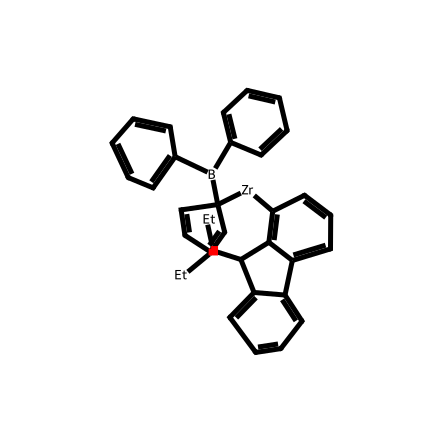 CCP(CC)C1c2ccccc2-c2ccc[c]([Zr][C]3(B(c4ccccc4)c4ccccc4)C=CC=C3)c21